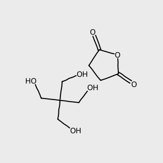 O=C1CCC(=O)O1.OCC(CO)(CO)CO